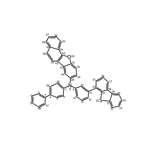 c1ccc(-c2ccc(N(c3cccc(-c4cccc5c4sc4ccccc45)c3)c3ccc4oc5c6ccccc6ccc5c4c3)cc2)cc1